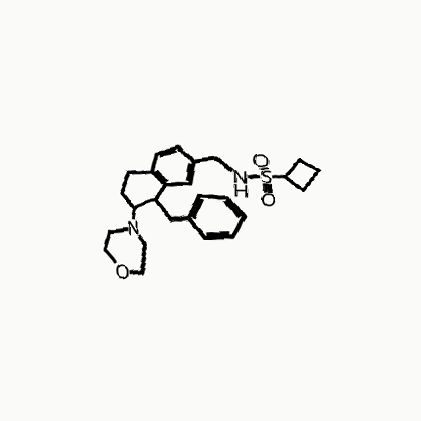 O=S(=O)(NCc1ccc2c(c1)C(Cc1ccccc1)C(N1CCOCC1)CC2)C1CCC1